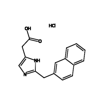 Cl.O=C(O)Cc1cnc(Cc2ccc3ccccc3c2)[nH]1